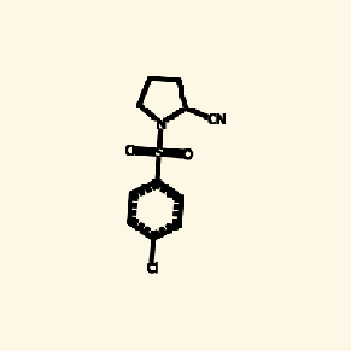 N#CC1CCCN1S(=O)(=O)c1ccc(Cl)cc1